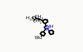 CC(C)(C)c1ccc(C2C=C(c3cccc(C#C[Si](C)(C)C)c3)NN2c2ccccc2)cc1